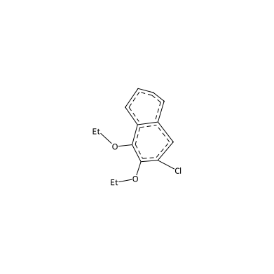 CCOc1c(Cl)cc2ccccc2c1OCC